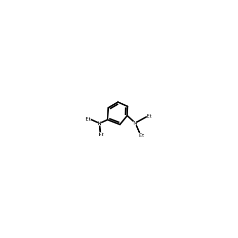 CCN(CC)c1c[c]cc(N(CC)CC)c1